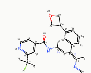 C=N/C(C)=C(\C=C(/C)NC(=O)c1ccnc(C(C)(C)F)c1)c1cccc(C2COC2)c1